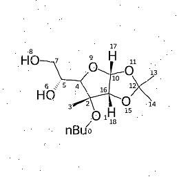 CCCCO[C@]1(C)C([C@H](O)CO)O[C@@H]2OC(C)(C)O[C@@H]21